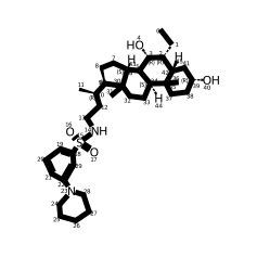 CC[C@H]1[C@@H](O)C2[C@@H]3CC[C@H]([C@H](C)CCNS(=O)(=O)c4cccc(N5CCCCC5)c4)C3(C)CC[C@@H]2C2(C)CC[C@@H](O)C[C@@H]12